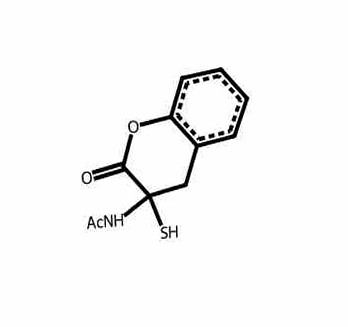 CC(=O)NC1(S)Cc2ccccc2OC1=O